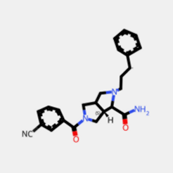 N#Cc1cccc(C(=O)N2CC3CN(CC[CH]c4ccccc4)C(C(N)=O)[C@@H]3C2)c1